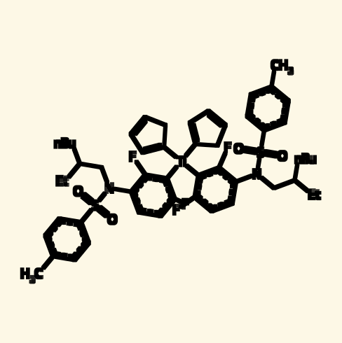 CCCCC(CC)CN(c1ccc(F)[c]([Ti]([C]2=CC=CC2)([C]2=CC=CC2)[c]2c(F)ccc(N(CC(CC)CCCC)S(=O)(=O)c3ccc(C)cc3)c2F)c1F)S(=O)(=O)c1ccc(C)cc1